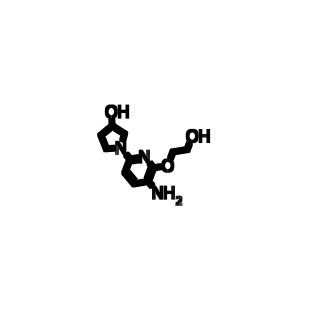 Nc1ccc(N2CCC(O)C2)nc1OCCO